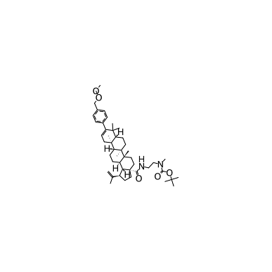 C=C(C)[C@@H]1CC[C@]2(C(=O)NCCN(C)C(=O)OC(C)(C)C)CC[C@]3(C)[C@H](CC[C@@H]4[C@@]5(C)CC=C(c6ccc(COOC)cc6)C(C)(C)[C@@H]5CC[C@]43C)[C@@H]12